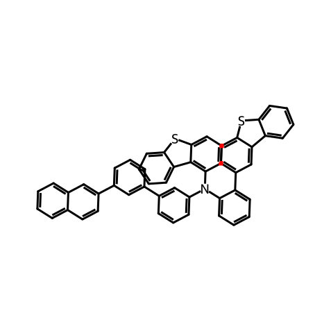 c1cc(-c2cccc(N(c3ccccc3-c3ccc4sc5ccccc5c4c3)c3cccc4sc5ccccc5c34)c2)cc(-c2ccc3ccccc3c2)c1